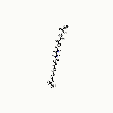 O=C(O)COCCOCCOC/C=C/C=C/COCCOCCO